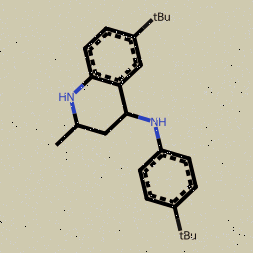 CC1CC(Nc2ccc(C(C)(C)C)cc2)c2cc(C(C)(C)C)ccc2N1